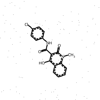 Cn1c(=O)c(C(=O)Nc2ccc(Cl)cc2)c(O)c2ccccc21